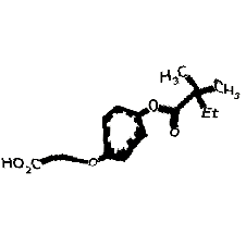 CCC(C)(C)C(=O)Oc1ccc(OCC(=O)O)cc1